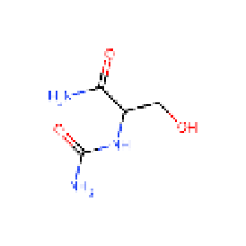 NC(=O)NC(CO)C(N)=O